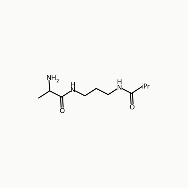 CC(C)C(=O)NCCCNC(=O)C(C)N